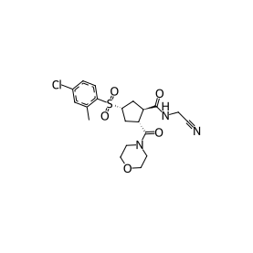 Cc1cc(Cl)ccc1S(=O)(=O)[C@@H]1C[C@@H](C(=O)NCC#N)[C@H](C(=O)N2CCOCC2)C1